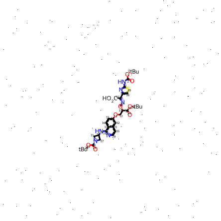 CC(C)(C)OC(=O)Nc1nc(/C(=N/OC(COc2ccc3c(NC4CN(C(=O)OC(C)(C)C)C4)nccc3c2)C(=O)OC(C)(C)C)C(=O)O)cs1